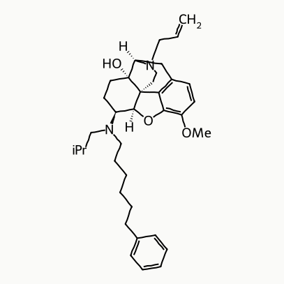 C=CCN1CC[C@]23c4c5ccc(OC)c4O[C@H]2[C@@H](N(CCCCCCc2ccccc2)CC(C)C)CC[C@@]3(O)[C@H]1C5